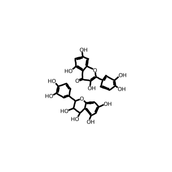 O=c1c(O)c(-c2ccc(O)c(O)c2)oc2cc(O)cc(O)c12.Oc1cc(O)c2c(c1)OC(c1ccc(O)c(O)c1)C(O)C2O